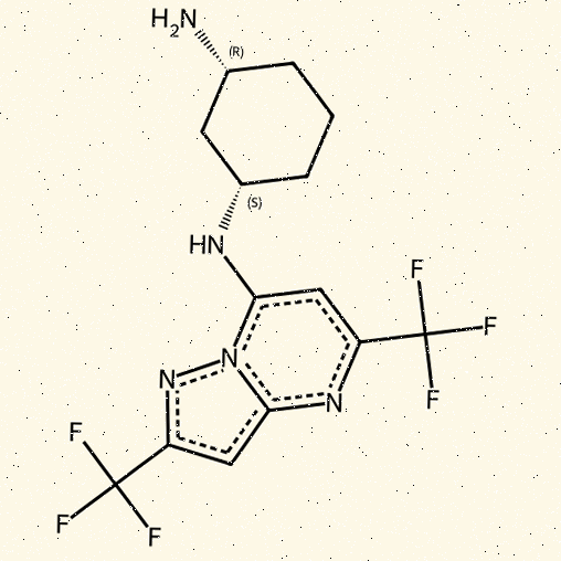 N[C@@H]1CCC[C@H](Nc2cc(C(F)(F)F)nc3cc(C(F)(F)F)nn23)C1